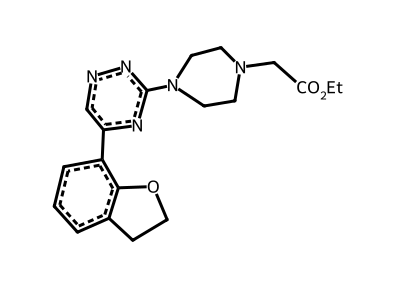 CCOC(=O)CN1CCN(c2nncc(-c3cccc4c3OCC4)n2)CC1